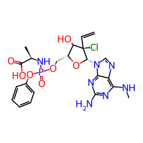 C=C[C@@]1(Cl)[C@H](O)[C@@H](COP(=O)(N[C@H](C)C(=O)O)Oc2ccccc2)O[C@H]1n1cnc2c(NC)nc(N)nc21